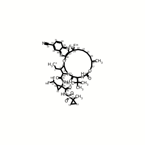 CCC1C2CN(C(=O)C(C(C)(C)C)NC(=O)OCC(C)CCCCC(F)(F)c3nc4ccc(C#N)cc4nc3O2)C1C(=O)NC1(C(=O)NS(=O)(=O)C2(C)CC2)CC1C(F)F